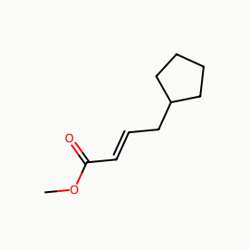 COC(=O)/C=C/CC1CCCC1